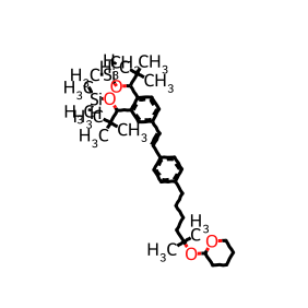 C[SiH](C)OC(c1ccc(C=Cc2ccc(CCCCC(C)(C)OC3CCCCO3)cc2)cc1C(O[SiH](C)C)C(C)(C)C)C(C)(C)C